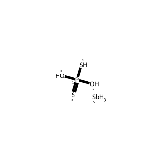 OP(O)(=S)S.[SbH3]